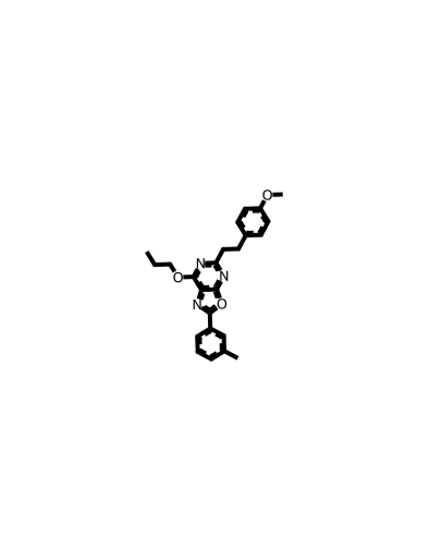 CCCOc1nc(CCc2ccc(OC)cc2)nc2oc(-c3cccc(C)c3)nc12